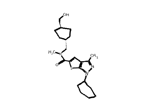 Cc1nn(C2CCCCC2)c2sc(C(=O)N(C)C[C@H]3CC[C@H](CO)CC3)cc12